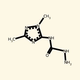 Cc1nc(NC(=O)NN)n(C)n1